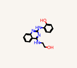 OCCNc1nc(Nc2ccccc2O)nc2ccccc12